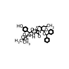 C=CCC1=C(C(=O)OC(c2ccccc2)c2ccccc2)N2C(=O)C(NC(=O)C(NC(=O)OC(C)(C)C)c3ccc(O)cc3)[C@H]2SC1